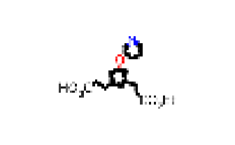 CCOC(=O)CCc1cc(CCC(=O)O)cc(Oc2cccnc2)c1